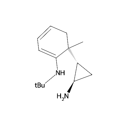 CC(C)(C)NC1=CC=CCC1(C)[C@@H]1C[C@H]1N